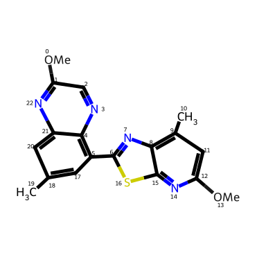 COc1cnc2c(-c3nc4c(C)cc(OC)nc4s3)cc(C)cc2n1